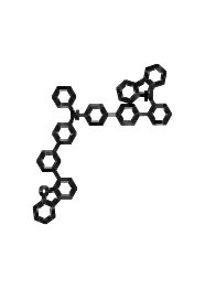 c1ccc(N(c2ccc(-c3ccc(-c4ccccc4-n4c5ccccc5c5ccccc54)cc3)cc2)c2ccc(-c3cccc(-c4cccc5c4oc4ccccc45)c3)cc2)cc1